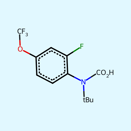 CC(C)(C)N(C(=O)O)c1ccc(OC(F)(F)F)cc1F